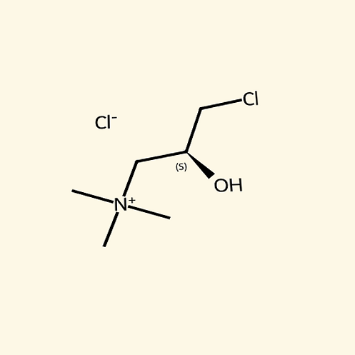 C[N+](C)(C)C[C@H](O)CCl.[Cl-]